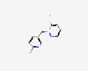 CSc1cccc[n+]1Cc1ccc(Cl)nc1